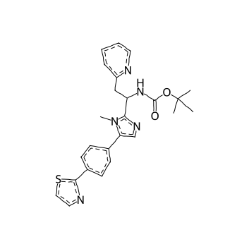 Cn1c(-c2ccc(-c3nccs3)cc2)cnc1C(Cc1ccccn1)NC(=O)OC(C)(C)C